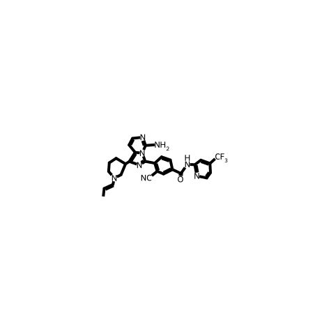 CC=CN1CCCC(c2nc(-c3ccc(C(=O)Nc4cc(C(F)(F)F)ccn4)cc3C#N)n3c(N)nccc23)C1